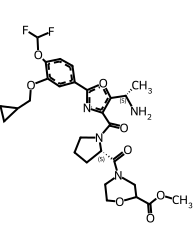 COC(=O)C1CN(C(=O)[C@@H]2CCCN2C(=O)c2nc(-c3ccc(OC(F)F)c(OCC4CC4)c3)oc2[C@H](C)N)CCO1